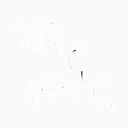 COC(=O)[C@H](CC[C@H](O)CO[Si](C)(C)C(C)(C)C)NC(=O)OC(C)(C)C